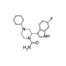 NC(=O)N1CCN(c2ccccc2)CC1c1c[nH]c2cc(F)ccc12